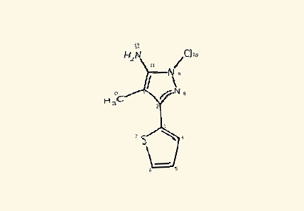 Cc1c(-c2cccs2)nn(Cl)c1N